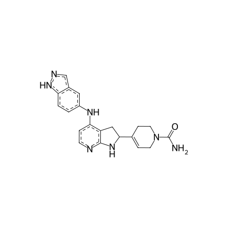 NC(=O)N1CC=C(C2Cc3c(Nc4ccc5[nH]ncc5c4)ccnc3N2)CC1